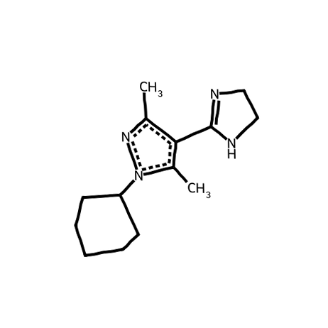 Cc1nn(C2CCCCC2)c(C)c1C1=NCCN1